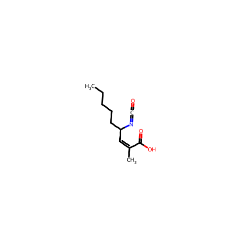 CCCCCC(C=C(C)C(=O)O)N=C=O